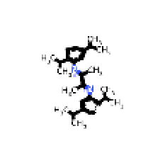 CC(=N\c1cc(C(C)C)ccc1C(C)C)/C(C)=N/c1cc(C(C)C)ccc1C(C)C